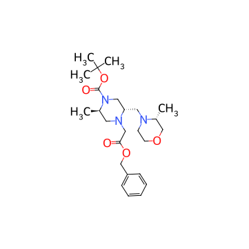 C[C@@H]1COCCN1C[C@H]1CN(C(=O)OC(C)(C)C)[C@H](C)CN1CC(=O)OCc1ccccc1